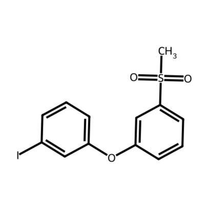 CS(=O)(=O)c1cccc(Oc2cccc(I)c2)c1